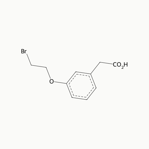 O=C(O)Cc1cccc(OCCBr)c1